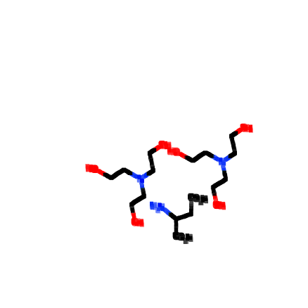 NC(CC(=O)O)C(=O)O.OCCN(CCO)CCO.OCCN(CCO)CCO